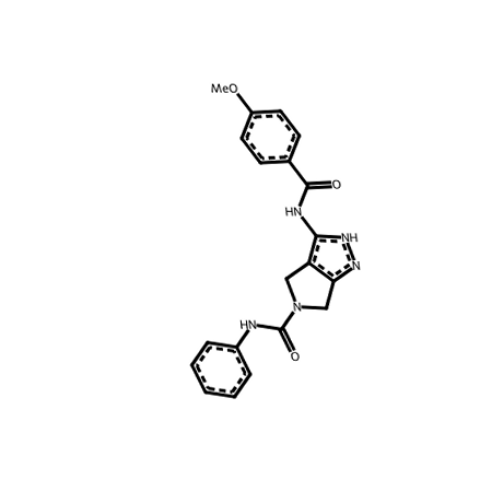 COc1ccc(C(=O)Nc2[nH]nc3c2CN(C(=O)Nc2ccccc2)C3)cc1